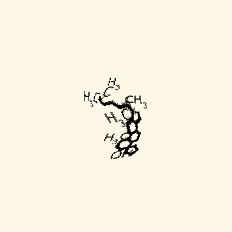 CC(C)CCC[C@@H](C)[C@H]1CC=C2C3=C(CC[C@@]21C)[C@@]1(C)CCC(O)C2(CCCC2)C1CC3